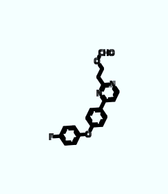 O=COCCc1nccc(-c2ccc(Oc3ccc(F)cc3)cc2)n1